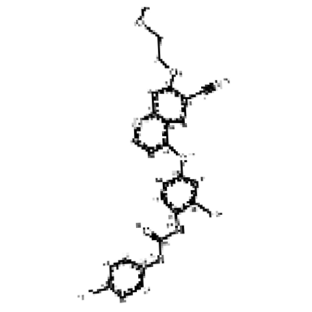 COCCOc1cc2nccc(Oc3ccc(NC(=O)Nc4ccc(F)cc4)c(F)c3)c2cc1C#N